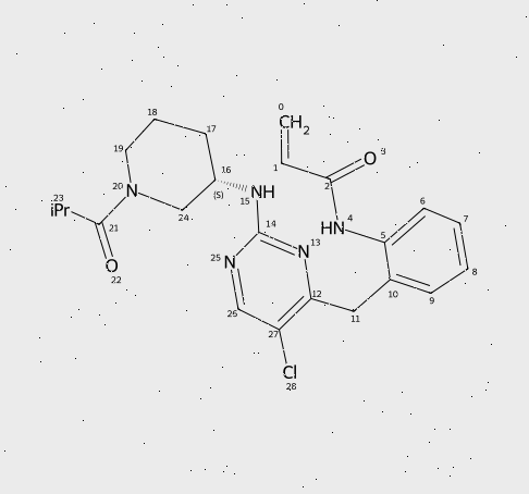 C=CC(=O)Nc1ccccc1Cc1nc(N[C@H]2CCCN(C(=O)C(C)C)C2)ncc1Cl